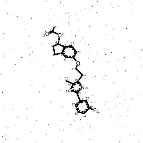 CC(=O)OC1CCc2cc(OCCc3nc(-c4cccc(F)c4)sc3C)ccc21